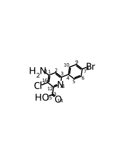 Nc1cc(-c2ccc(Br)cc2)nc(C(=O)O)c1Cl